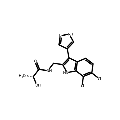 C[C@@H](O)C(=O)NCc1[nH]c2c(Cl)c(Cl)ccc2c1-c1cn[nH]c1